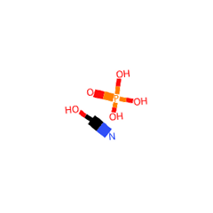 N#CO.O=P(O)(O)O